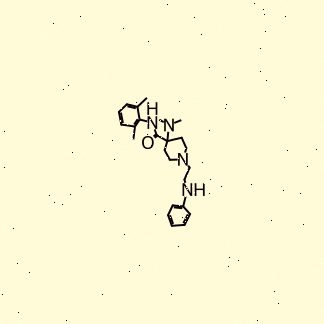 Cc1cccc(C)c1NC(=O)C1(N(C)C)CCN(CCNc2ccccc2)CC1